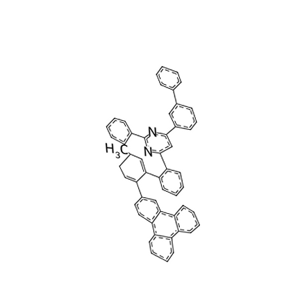 CC1C=C(c2ccccc2-c2cc(-c3cccc(-c4ccccc4)c3)nc(-c3ccccc3)n2)C(c2ccc3c4ccccc4c4ccccc4c3c2)=CC1